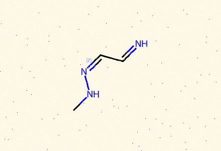 CN/N=C\C=N